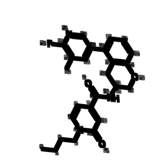 CCCCn1ccc(C(=O)N[C@@H]2COc3cccc(-c4cnc(F)c(C)c4)c3C2)cc1=O